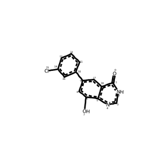 O=c1[nH]cnc2c(O)cc(-c3cccc(Cl)c3)cc12